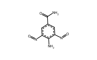 NC(=O)c1cc(N=O)c(N)c(N=O)c1